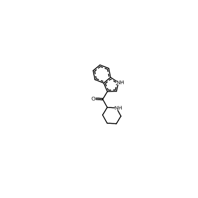 O=C(c1c[nH]c2ccccc12)C1CCCCN1